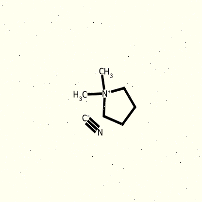 C[N+]1(C)CCCC1.[C-]#N